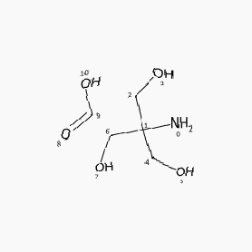 NC(CO)(CO)CO.O=CO